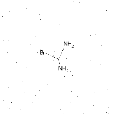 NC(N)Br